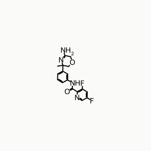 CC1(c2cccc(NC(=O)c3ncc(F)cc3F)c2)COCC(N)=N1